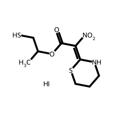 CC(CS)OC(=O)C(=C1NCCCS1)[N+](=O)[O-].I